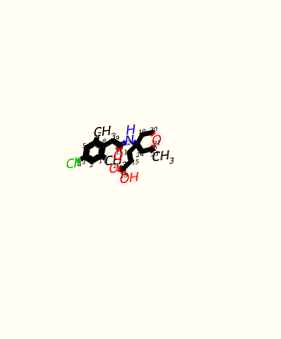 Cc1cc(Cl)cc(C)c1CC(=O)NC1(CCC(=O)O)CCOC(C)C1